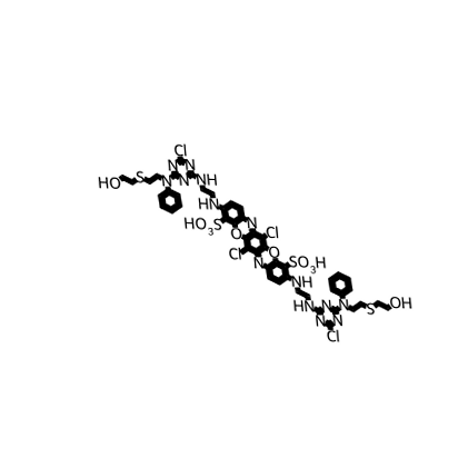 O=S(=O)(O)c1c(NCCNc2nc(Cl)nc(N(CCSCCO)c3ccccc3)n2)ccc2c1Oc1c(Cl)c3c(c(Cl)c1=N2)Oc1c(ccc(NCCNc2nc(Cl)nc(N(CCSCCO)c4ccccc4)n2)c1S(=O)(=O)O)N=3